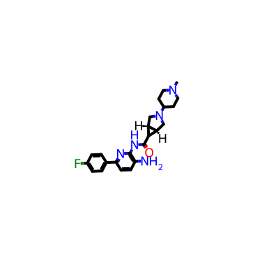 CN1CCC(N2C[C@@H]3C(C(=O)Nc4nc(-c5ccc(F)cc5)ccc4N)[C@@H]3C2)CC1